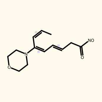 C\C=C/C(=C\C=C\CC(=O)N=O)N1CCOCC1